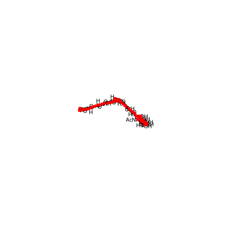 CC(=O)N[C@H]1[C@H](OCCCNC(=O)CCCCCNC(=O)CCCCCNC(=O)COc2ccc(-c3cccc(C(=O)NCCCCCC(=O)NCCCCCC(=O)NCCCCCC(=O)NCCCCCC(=O)OCc4ccccc4)c3)cc2)O[C@H](CO)[C@@H](O[C@@H]2O[C@H](CO)[C@H](O)[C@H](O[C@H]3O[C@H](CO)[C@H](O)[C@H](O)[C@H]3O)[C@H]2O)[C@@H]1O